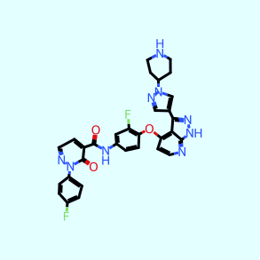 O=C(Nc1ccc(Oc2ccnc3[nH]nc(-c4cnn(C5CCNCC5)c4)c23)c(F)c1)c1ccnn(-c2ccc(F)cc2)c1=O